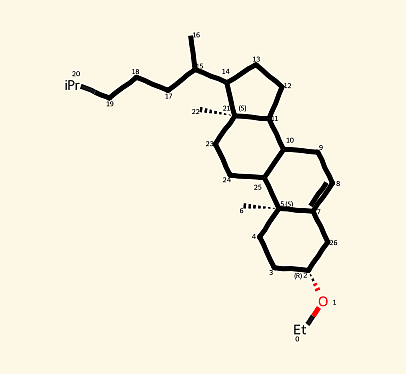 CCO[C@@H]1CC[C@]2(C)C(=CCC3C4CCC(C(C)CCCC(C)C)[C@]4(C)CCC32)C1